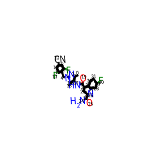 Cc1nn(Cc2c(F)cc(C#N)cc2F)c(C)c1NC(=O)c1cc(C(N)=O)nc2cc(F)ccc12